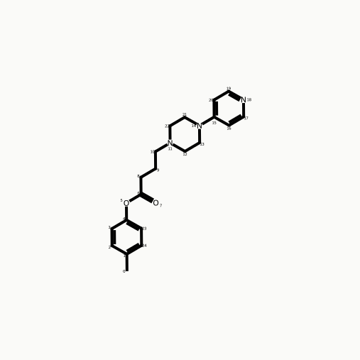 Cc1ccc(OC(=O)CCCN2CCN(c3ccncc3)CC2)cc1